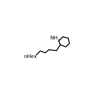 CCCCCCCCCCC1CCCCC1.N